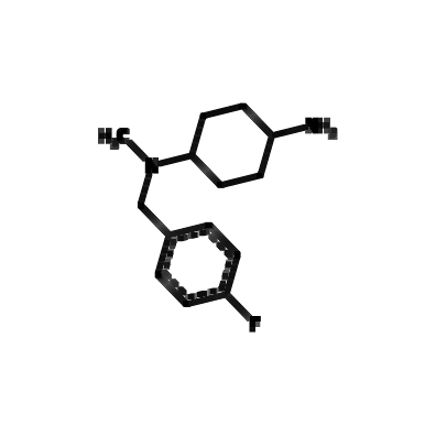 CN(Cc1ccc(F)cc1)C1CCC(N)CC1